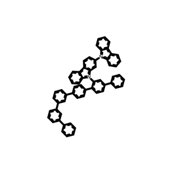 c1ccc(-c2cccc(-c3cccc(-c4ccc(-c5ccc(-c6ccccc6)cc5-n5c6ccccc6c6ccc(-n7c8ccccc8c8ccccc87)cc65)cc4)c3)c2)cc1